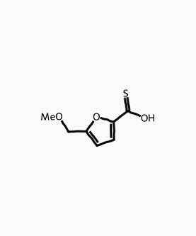 COCc1ccc(C(O)=S)o1